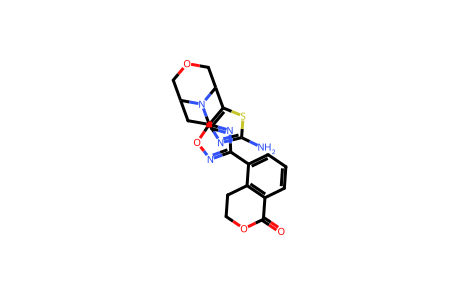 Nc1nc2c(s1)C1COCC(C2)N1c1nc(-c2cccc3c2CCOC3=O)no1